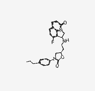 CCCc1ccc(N2C[C@@H](CCNC3Cn4c(=O)ccc5ccc(F)c3c54)OC2=O)cc1